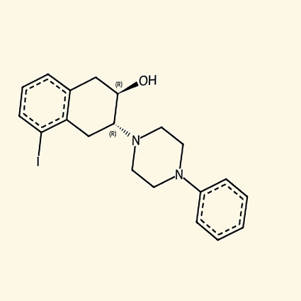 O[C@@H]1Cc2cccc(I)c2C[C@H]1N1CCN(c2ccccc2)CC1